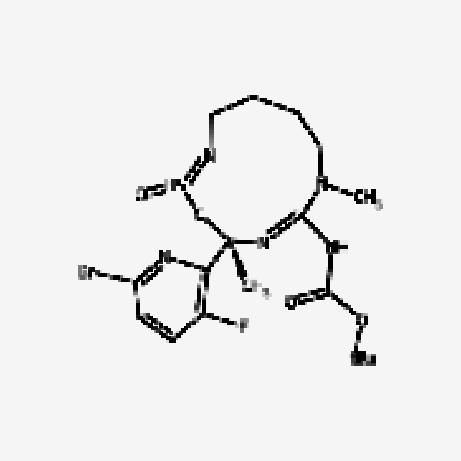 CN1CCCC/N=[SH](=O)/C[C@@](C)(c2nc(Br)ccc2F)/N=C\1NC(=O)OC(C)(C)C